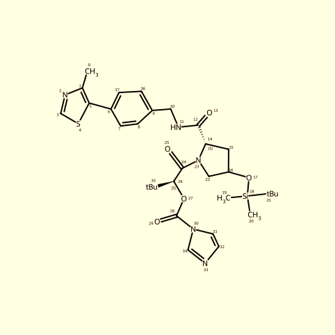 Cc1ncsc1-c1ccc(CNC(=O)[C@@H]2CC(O[Si](C)(C)C(C)(C)C)CN2C(=O)[C@@H](OC(=O)n2ccnc2)C(C)(C)C)cc1